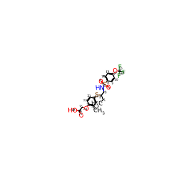 CCC(CNS(=O)(=O)c1ccc(OC(F)(F)F)cc1)Sc1ccc(OCC(=O)O)c(C)c1